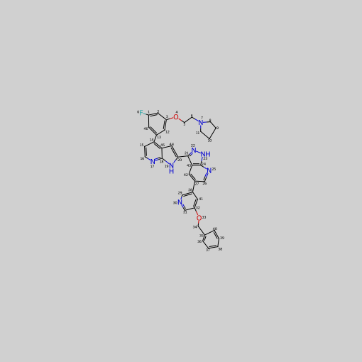 Fc1cc(OCCN2CCCC2)cc(-c2ccnc3[nH]c(-c4n[nH]c5ncc(-c6cncc(OCc7ccccc7)c6)cc45)cc23)c1